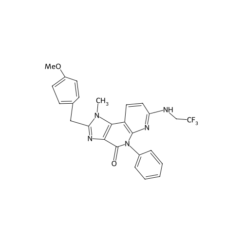 COc1ccc(Cc2nc3c(=O)n(-c4ccccc4)c4nc(NCC(F)(F)F)ccc4c3n2C)cc1